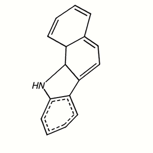 C1=CC2=CC=C3c4ccccc4NC3C2C=C1